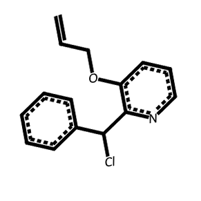 C=CCOc1cccnc1C(Cl)c1ccccc1